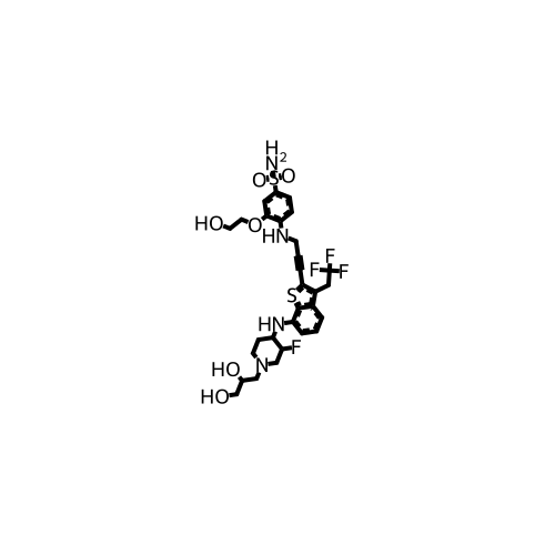 NS(=O)(=O)c1ccc(NCC#Cc2sc3c(NC4CCN(CC(O)CO)CC4F)cccc3c2CC(F)(F)F)c(OCCO)c1